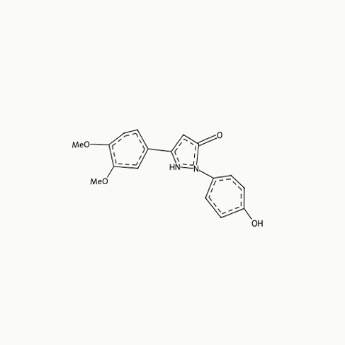 COc1ccc(-c2cc(=O)n(-c3ccc(O)cc3)[nH]2)cc1OC